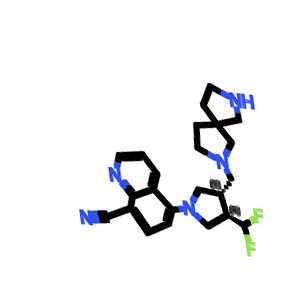 N#Cc1ccc(N2C[C@H](CN3CCC4(CCNC4)C3)[C@@H](C(F)F)C2)c2cccnc12